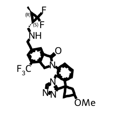 COC1CC(c2cccc(N3Cc4c(cc(CNC[C@@H]5[C@@H](C)C5(F)F)cc4C(F)(F)F)C3=O)c2)(c2nncn2C)C1